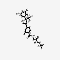 Cc1cc(C2=CSC(c3cc(Cl)cc(Cl)c3)(C(F)(F)F)C2)ccc1C(=O)NCC(=O)NCC(F)(F)F